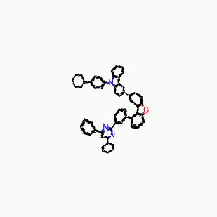 c1ccc(-c2cc(-c3ccccc3)nc(-c3cccc(-c4cccc5oc6ccc(-c7ccc8c(c7)c7ccccc7n8-c7ccc(C8CCCCC8)cc7)cc6c45)c3)n2)cc1